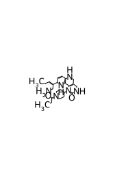 CC/C=C(\CN)C1C=CC2=C(N1)C1=C(CNC(=O)N1C1CCN(C(=O)CC)CC1)CN2